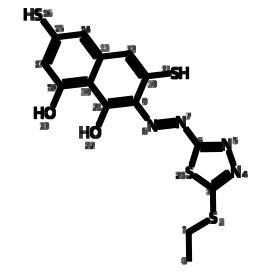 CCSc1nnc(/N=N/c2c(S)cc3cc(S)cc(O)c3c2O)s1